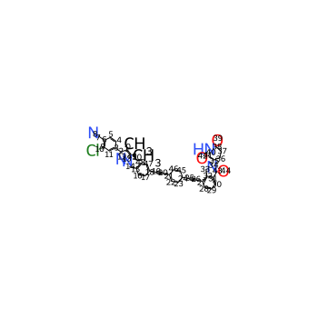 Cc1c(-c2ccc(C#N)c(Cl)c2)nn(Cc2ccc(C#CC3CCC(C#Cc4cccc5c4CN(C4CCC(=O)NC4=O)C5=O)CC3)cc2)c1C